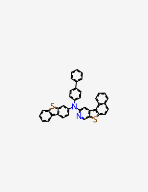 c1ccc(-c2ccc(N(c3ccc4c(c3)sc3ccccc34)c3cc4c(cn3)sc3ccc5ccccc5c34)cc2)cc1